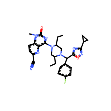 CCC1CN(C(c2ccc(F)cc2)c2nc(C3CC3)no2)C(CC)CN1c1nc(=O)n(C)c2ccc(C#N)nc12